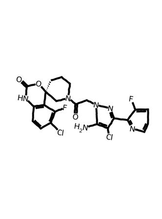 Nc1c(Cl)c(-c2ncccc2F)nn1CC(=O)N1CCC[C@@]2(C1)OC(=O)Nc1ccc(Cl)c(F)c12